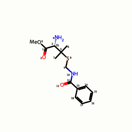 COC(=O)[C@H](N)C(C)(C)SCNC(=O)c1ccccc1